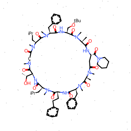 CC(C)C[C@H]1C(=O)N(C)[C@@H](Cc2ccccc2)C(=O)N[C@@H](COC(C)(C)C)C(=O)N(C)[C@@H](C)C(=O)N[C@H](C(=O)N2CCCCC2)CC(=O)N(C)[C@@H](C)C(=O)N(C)[C@@H](Cc2ccccc2)C(=O)N[C@@H](CCc2ccccc2)C(=O)N(C)[C@@H](CC(C)C)C(=O)N[C@@H]([C@@H](C)O)C(=O)N(C)CC(=O)N1C